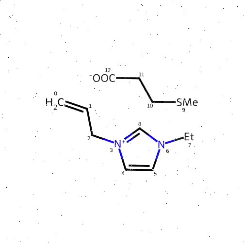 C=CC[n+]1ccn(CC)c1.CSCCC(=O)[O-]